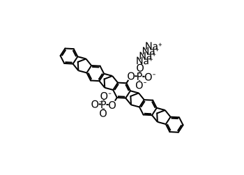 O=P([O-])([O-])Oc1c2c(c(OP(=O)([O-])[O-])c3c1C1CC3c3cc4c(cc31)C1CC4c3ccccc31)C1CC2c2cc3c(cc21)C1CC3c2ccccc21.[Na+].[Na+].[Na+].[Na+]